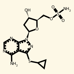 Nc1ncnc2c1c(SC1CC1)nn2[C@H]1C[C@H](O)[C@@H](COS(N)(=O)=O)O1